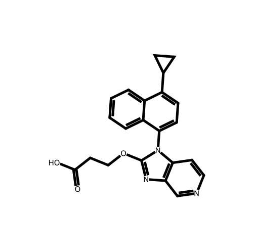 O=C(O)CCOc1nc2cnccc2n1-c1ccc(C2CC2)c2ccccc12